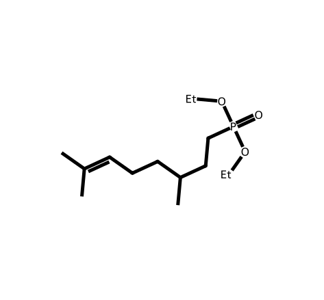 CCOP(=O)(CCC(C)CCC=C(C)C)OCC